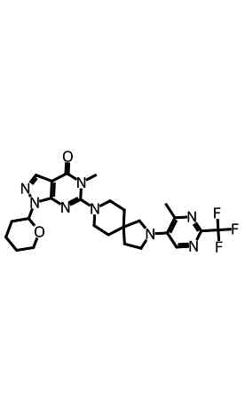 Cc1nc(C(F)(F)F)ncc1N1CCC2(CCN(c3nc4c(cnn4C4CCCCO4)c(=O)n3C)CC2)C1